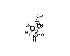 Cc1cc(Cl)cc(-c2ccnc3cc(CO)sc23)c1O[C@@H]1CNCC1C(C)C